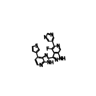 Fc1c(-c2cncnc2)ncc2[nH]nc(-c3nc4c(-c5ccsc5)ccnc4[nH]3)c12